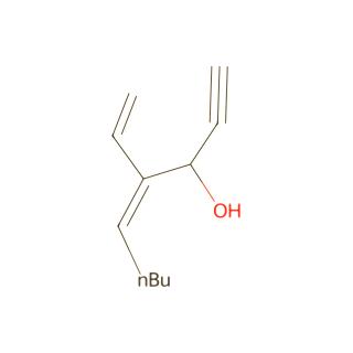 C#CC(O)C(C=C)=CCCCC